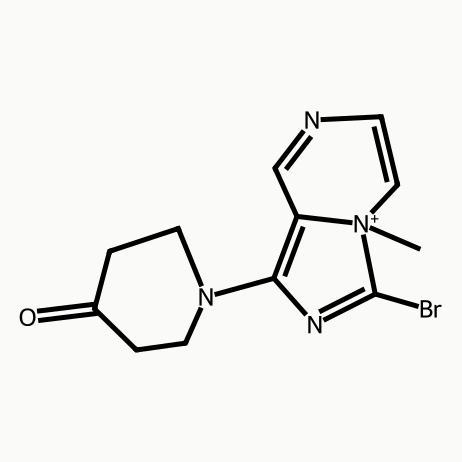 C[N+]12C=CN=CC1=C(N1CCC(=O)CC1)N=C2Br